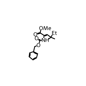 CCC(C)(C)/C=C(\NC(=O)OCc1ccccc1)C(=O)OC